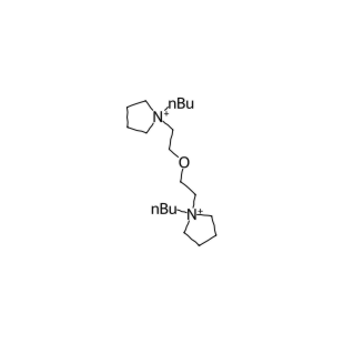 CCCC[N+]1(CCOCC[N+]2(CCCC)CCCC2)CCCC1